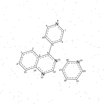 c1ccc2c(-c3ccncc3)ncnc2c1.c1ccncc1